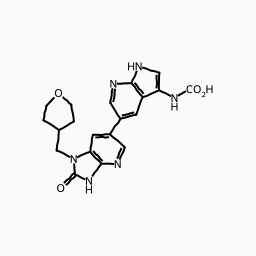 O=C(O)Nc1c[nH]c2ncc(-c3cnc4[nH]c(=O)n(CC5CCOCC5)c4c3)cc12